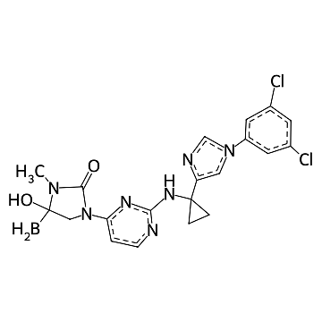 BC1(O)CN(c2ccnc(NC3(c4cn(-c5cc(Cl)cc(Cl)c5)cn4)CC3)n2)C(=O)N1C